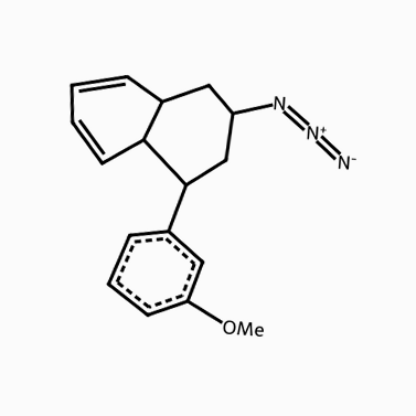 COc1cccc(C2CC(N=[N+]=[N-])CC3C=CC=CC32)c1